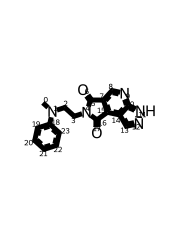 CN(CCN1C(=O)c2cnc3[nH]ncc3c2C1=O)c1ccccc1